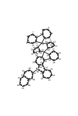 c1ccc2c(c1)-c1ccccc1C21c2ccccc2C2(c3ccccc3-c3c2ccc2c3c3ccccc3n2-c2ccc3ccccc3c2)c2ccccc21